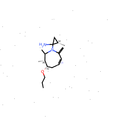 C=C1/C=C\C[C@H](OCCC)[C@H](C)C(C)N1C1(N)C[C@@H]1C